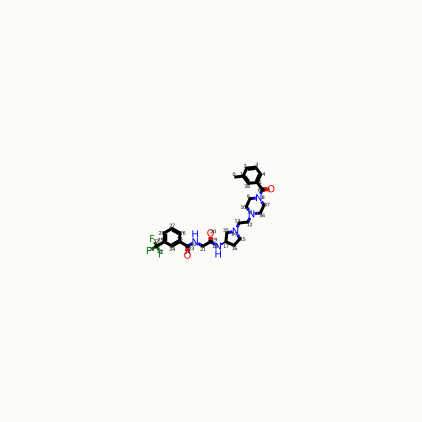 Cc1cccc(C(=O)N2CCN(CCN3CC[C@@H](NC(=O)CNC(=O)c4cccc(C(F)(F)F)c4)C3)CC2)c1